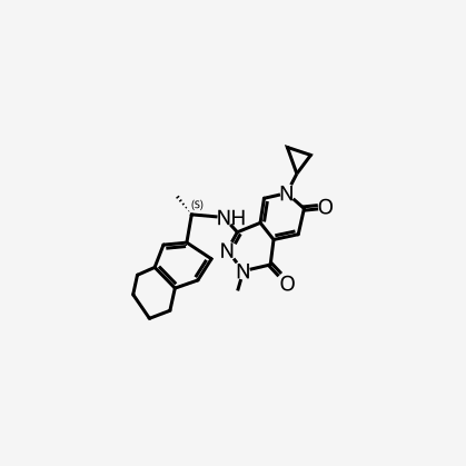 C[C@H](Nc1nn(C)c(=O)c2cc(=O)n(C3CC3)cc12)c1ccc2c(c1)CCCC2